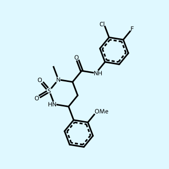 COc1ccccc1C1CC(C(=O)Nc2ccc(F)c(Cl)c2)N(C)S(=O)(=O)N1